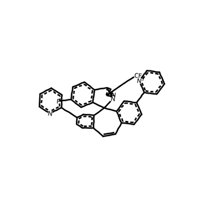 Fc1ccc2c(c1)C1(c3cc(-c4ccccn4)ccc3C=Cc3ccc(-c4ccccn4)cc31)n1nc(C(F)(F)F)cc1-2